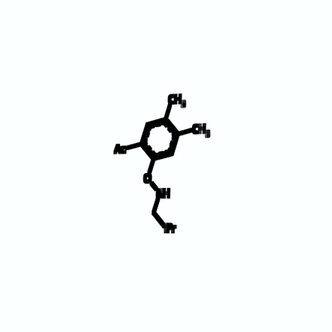 CC(=O)c1cc(C)c(C)cc1ONCC(C)C